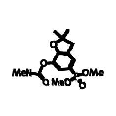 CNC(=O)Oc1cc(P(=O)(OC)OC)cc2c1OC(C)(C)C2